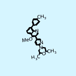 COc1c(-c2ccc(N3CC(C)O[C@H](C)C3)nc2)cnc2c(-c3ccc(C)cc3)cccc12